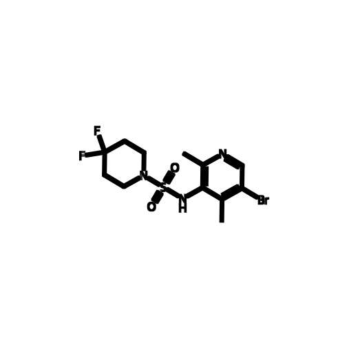 Cc1ncc(Br)c(C)c1NS(=O)(=O)N1CCC(F)(F)CC1